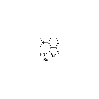 CCCCNc1noc2cccc(N(C)C)c12